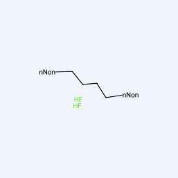 CCCCCCCCCCCCCCCCCCCCCC.F.F